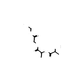 CC(=O)COC(=O)COC(=O)C(C)OC(=O)C(C)O